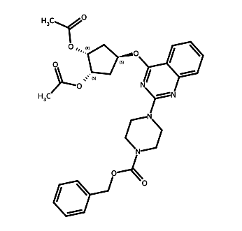 CC(=O)O[C@H]1C[C@H](Oc2nc(N3CCN(C(=O)OCc4ccccc4)CC3)nc3ccccc23)C[C@H]1OC(C)=O